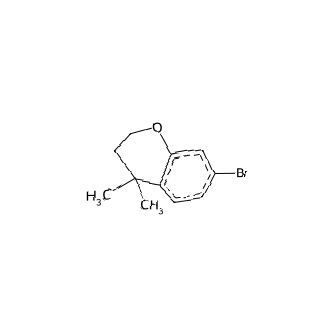 CC1(C)CCOc2cc(Br)ccc21